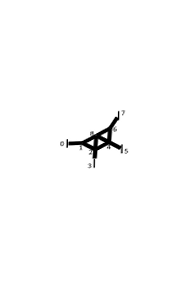 IC1C2(I)C3(I)C(I)C123